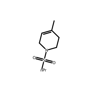 CCCS(=O)(=O)N1CC=C(C)CC1